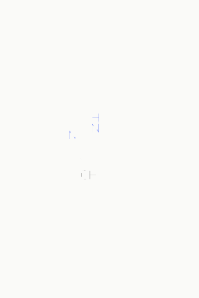 Cc1ccnc(Nc2ccccc2)c1